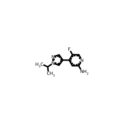 CC(C)n1cc(-c2cc(N)ncc2F)cn1